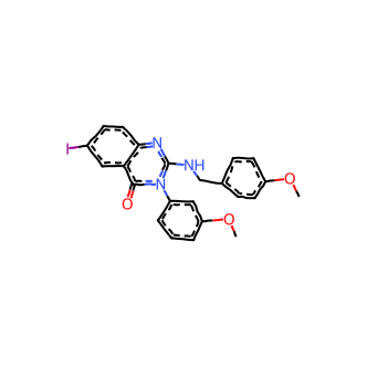 COc1ccc(CNc2nc3ccc(I)cc3c(=O)n2-c2cccc(OC)c2)cc1